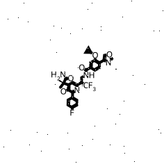 C[C@]1(C(N)=O)COc2c1cc(C(CNC(=O)c1ccc(-c3cocn3)c(OC3CC3)c1)C(F)(F)F)nc2-c1ccc(F)cc1